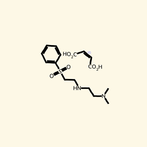 CN(C)CCNCCS(=O)(=O)c1ccccc1.O=C(O)/C=C\C(=O)O